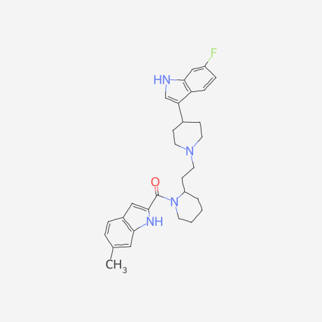 Cc1ccc2cc(C(=O)N3CCCCC3CCN3CCC(c4c[nH]c5cc(F)ccc45)CC3)[nH]c2c1